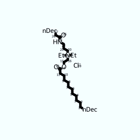 CCCCCCCCCCCCCCCCCCCCCC(=O)OCC[N+](CC)(CC)CCCNC(=O)CCCCCCCCCCC.[Cl-]